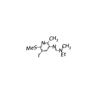 CCN(C)/C=N/c1cc(I)c(SC)nc1C